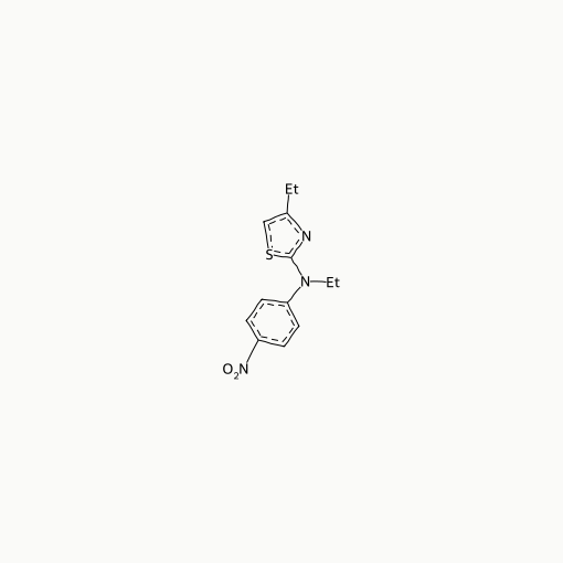 CCc1csc(N(CC)c2ccc([N+](=O)[O-])cc2)n1